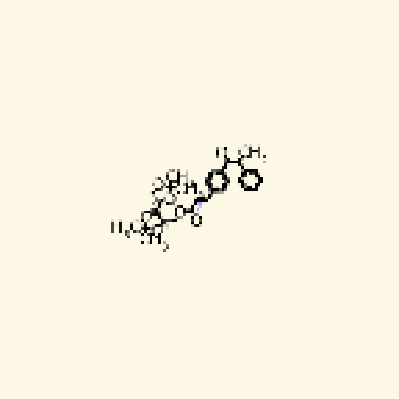 C=C(C(=O)c1ccc(/C=C/C(=O)OC[C@H]2OC(C)(C)O[C@@H]2[C@@H]2COC(C)(C)O2)cc1)c1ccccc1